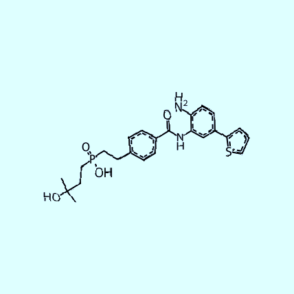 CC(C)(O)CCP(=O)(O)CCc1ccc(C(=O)Nc2cc(-c3cccs3)ccc2N)cc1